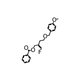 COc1ccc(COCCC(=CF)COC(=O)c2ccccc2)cc1